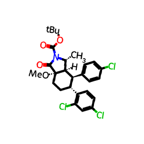 CO[C@@]12CC[C@@H](c3ccc(Cl)cc3Cl)[C@H](c3ccc(Cl)cc3)[C@@H]1[C@@H](C)N(C(=O)OC(C)(C)C)C2=O